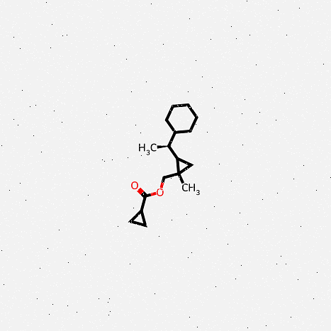 C[C@@H](C1CCCCC1)C1CC1(C)COC(=O)C1CC1